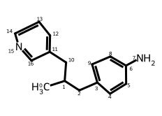 CC(Cc1ccc(N)cc1)Cc1cccnc1